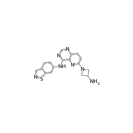 NC1CN(c2ccc3ncnc(Nc4ccc5cnsc5c4)c3n2)C1